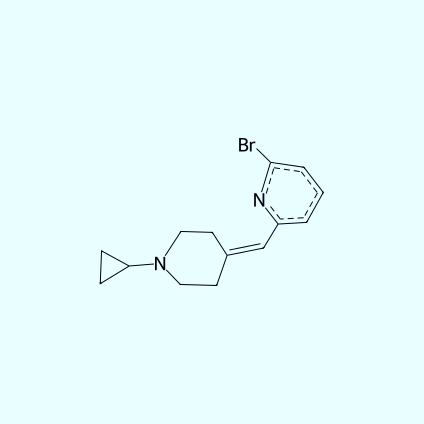 Brc1cccc(C=C2CCN(C3CC3)CC2)n1